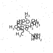 CCc1cc(C(C)(C)C)cc(C(C)(C)c2cc(C(C)(C)C)cc(C)c2O)c1OCCCCNC(=N)N